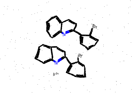 CC(C)c1ccccc1-c1ccc2ccccc2n1.CC(C)c1ccccc1-c1ccc2ccccc2n1.[Ir+3]